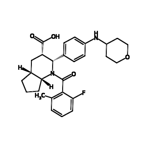 Cc1cccc(F)c1C(=O)N1[C@@H]2CCC[C@@H]2C[C@H](C(=O)O)[C@@H]1c1ccc(NC2CCOCC2)cc1